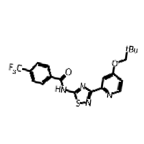 CC(C)(C)COc1ccnc(-c2nsc(NC(=O)c3ccc(C(F)(F)F)cc3)n2)c1